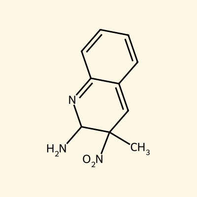 CC1([N+](=O)[O-])C=c2ccccc2=NC1N